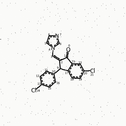 O=C1C(=Cn2ccnc2)C(c2ccc(Cl)cc2)c2ccc(Cl)cc21